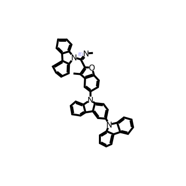 C/N=C(\c1oc2ccc(-n3c4ccccc4c4cc(-n5c6ccccc6c6ccccc65)ccc43)cc2c1C)n1c2ccccc2c2ccccc21